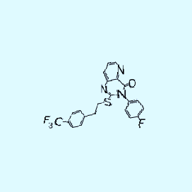 O=c1c2ncccc2nc(SCCc2ccc(C(F)(F)F)cc2)n1-c1ccc(F)cc1